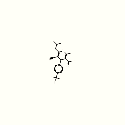 CC1=C(C(=O)O)C(c2ccc(C(F)(F)F)cc2)C(C#N)=C(CC(C)C)N1